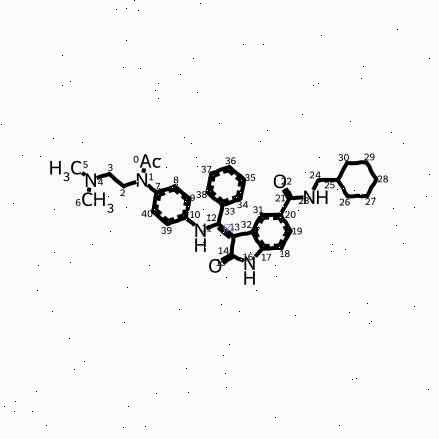 CC(=O)N(CCN(C)C)c1ccc(N/C(=C2\C(=O)Nc3ccc(C(=O)NCC4CCCCC4)cc32)c2ccccc2)cc1